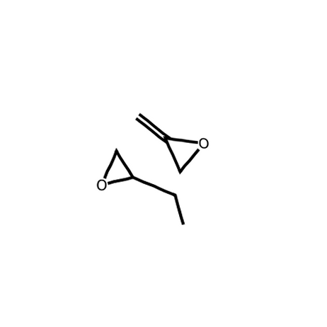 C=C1CO1.CCC1CO1